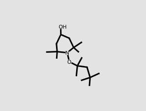 CC(C)(C)CC(C)(C)ON1C(C)(C)CC(O)CC1(C)C